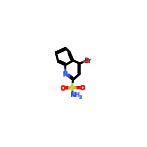 NS(=O)(=O)c1cc(Br)c2ccccc2n1